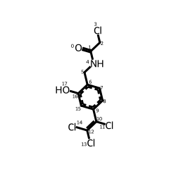 O=C(CCl)NCc1ccc(C(Cl)=C(Cl)Cl)cc1O